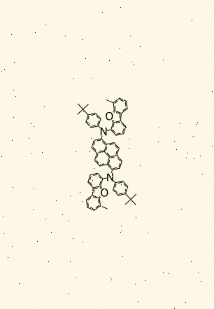 Cc1cccc2c1oc1c(N(c3ccc(C(C)(C)C)cc3)c3ccc4ccc5c(N(c6ccc(C(C)(C)C)cc6)c6cccc7c6oc6c(C)cccc67)ccc6ccc3c4c65)cccc12